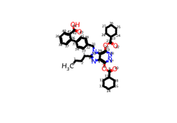 CCCCc1nc2c(OC(=O)C3CCCCC3)nnc(OC(=O)C3CCCCC3)c2n1Cc1ccc(-c2ccccc2C(=O)O)cc1